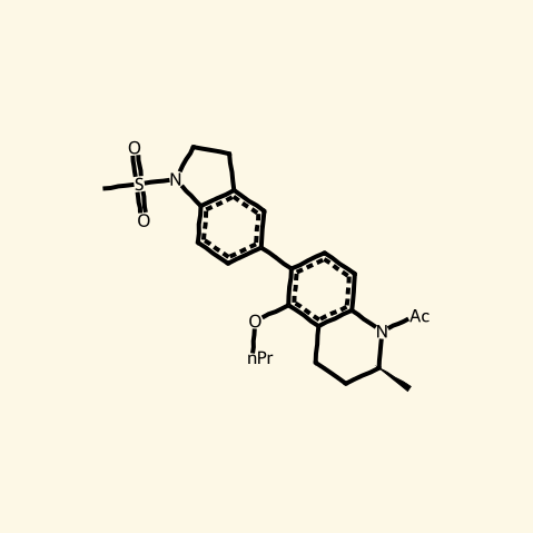 CCCOc1c(-c2ccc3c(c2)CCN3S(C)(=O)=O)ccc2c1CC[C@H](C)N2C(C)=O